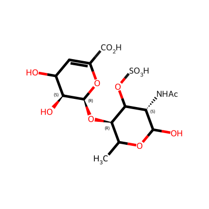 CC(=O)N[C@@H]1C(O)OC(C)[C@@H](O[C@@H]2OC(C(=O)O)=CC(O)[C@@H]2O)C1OS(=O)(=O)O